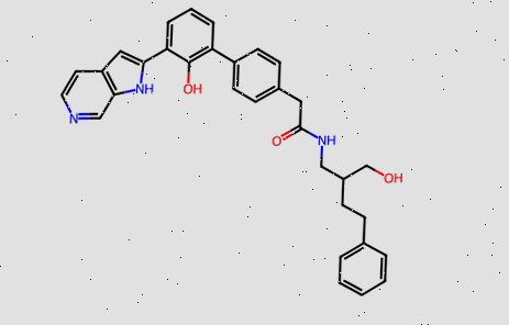 O=C(Cc1ccc(-c2cccc(-c3cc4ccncc4[nH]3)c2O)cc1)NCC(CO)CCc1ccccc1